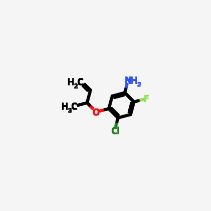 C=CC(C)Oc1cc(N)c(F)cc1Cl